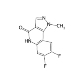 Cn1ncc2c(=O)[nH]c3cc(F)c(F)cc3c21